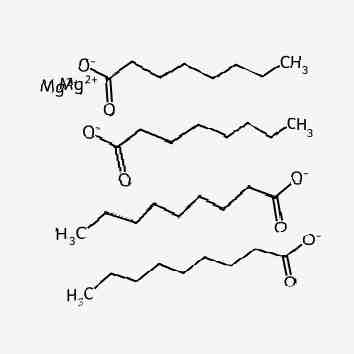 CCCCCCCC(=O)[O-].CCCCCCCC(=O)[O-].CCCCCCCCC(=O)[O-].CCCCCCCCC(=O)[O-].[Mg+2].[Mg+2]